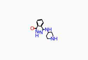 O=c1[nH]nc(NC2CCNCC2)c2ccccc12